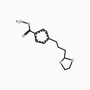 COC(=O)c1ccc(CCCC2OCCO2)cc1